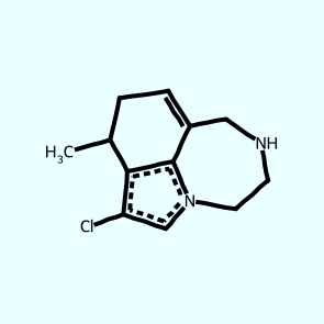 CC1CC=C2CNCCn3cc(Cl)c1c32